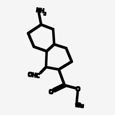 CC(C)(C)OC(=O)C1CCC2CC(N)CCC2C1C=O